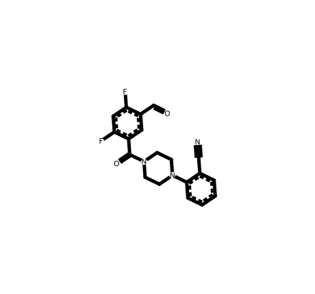 N#Cc1ccccc1N1CCN(C(=O)c2cc(C=O)c(F)cc2F)CC1